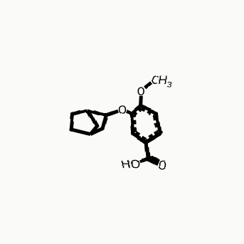 COc1ccc(C(=O)O)cc1OC1CC2CCC1C2